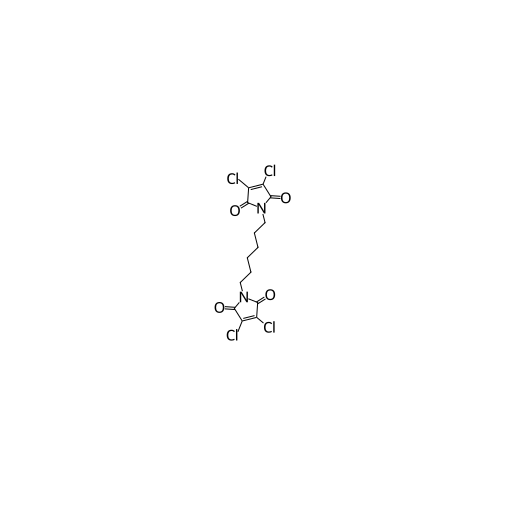 O=C1C(Cl)=C(Cl)C(=O)N1CCCCCCN1C(=O)C(Cl)=C(Cl)C1=O